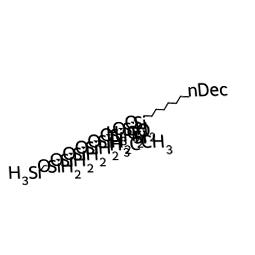 CCCCCCCCCCCCCCCCCC[SiH](O[SiH2]O[SiH2]O[SiH2]O[SiH2]O[SiH2]O[SiH2]O[SiH2]O[SiH3])O[Si](C)(C)C